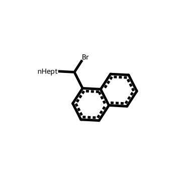 CCCCCCCC(Br)c1cccc2ccccc12